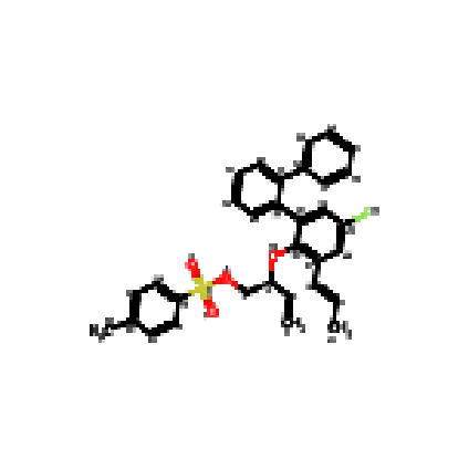 C=C[C@@H](COS(=O)(=O)c1ccc(C)cc1)Oc1c(C=CC)cc(F)cc1-c1ccccc1-c1ccccc1